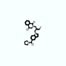 O=C1CN(C/C(=C\F)Cn2ccc3cc(C(=O)N4CCCC4)ccc32)C(=O)c2ccccc21